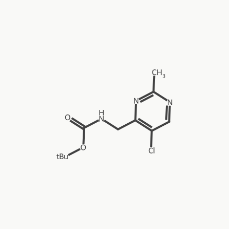 Cc1ncc(Cl)c(CNC(=O)OC(C)(C)C)n1